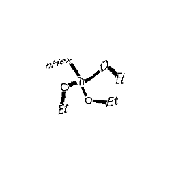 CCCCC[CH2][Ti]([O]CC)([O]CC)[O]CC